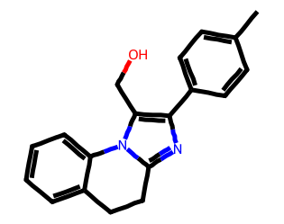 Cc1ccc(-c2nc3n(c2CO)-c2ccccc2CC3)cc1